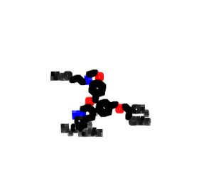 COCCCN1CCOc2ccc(CO[C@H]3CN[C@@H](CC(C)(C)NC(C)=O)C[C@@H]3c3ccc(COC[C@@H](C)COC)cc3)cc21